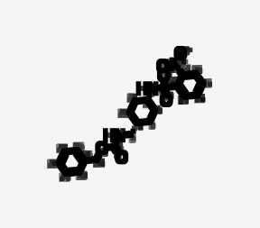 O=C(NC[C@H]1CC[C@@H](NS(=O)(=O)c2ccccc2[N+](=O)[O-])CC1)OCc1ccccc1